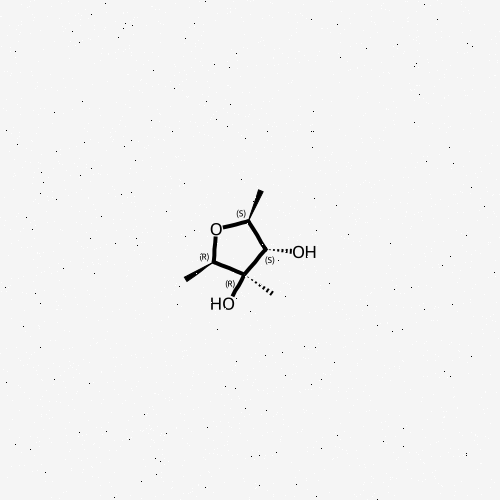 C[C@@H]1O[C@H](C)[C@](C)(O)[C@H]1O